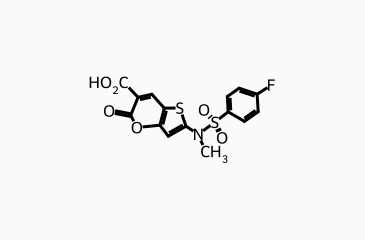 CN(c1cc2oc(=O)c(C(=O)O)cc2s1)S(=O)(=O)c1ccc(F)cc1